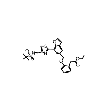 CCOC(=O)Cc1ccccc1OCc1cc(-c2nc(C=NS(=O)(=O)C(C)(C)C)cs2)c2occc2c1